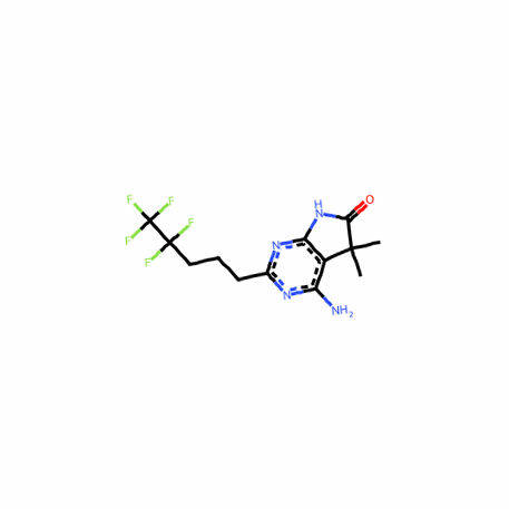 CC1(C)C(=O)Nc2nc(CCCC(F)(F)C(F)(F)F)nc(N)c21